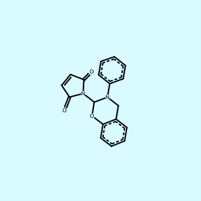 O=C1C=CC(=O)N1C1Oc2ccccc2CN1c1ccccc1